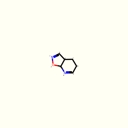 C1=NOC2N=CCCC12